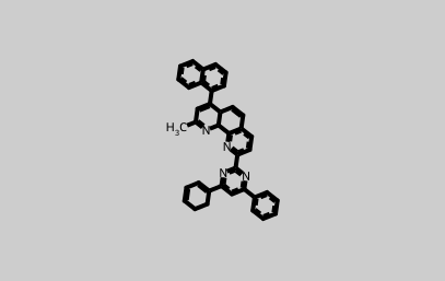 CC1=NC2c3nc(-c4nc(C5=CC=CCC5)cc(-c5ccccc5)n4)ccc3C=CC2C(c2cccc3ccccc23)=C1